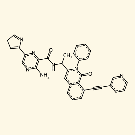 CC(NC(=O)c1nc(C2=CCC=N2)cnc1N)c1cc2cccc(C#Cc3cccnc3)c2c(=O)n1-c1ccccc1